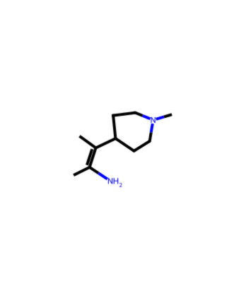 C/C(N)=C(\C)C1CCN(C)CC1